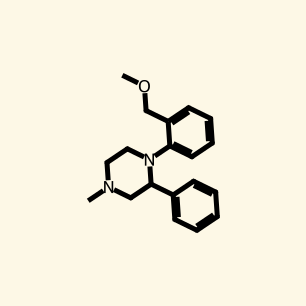 COCc1ccccc1N1CCN(C)CC1c1ccccc1